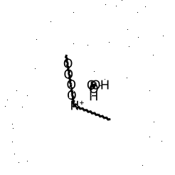 CCCCCCCCCCCCCCCCCC[N+](C)(C)CCCCOCCCCOCCCCOCCCCOCCCC.O=[PH]([O-])O